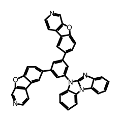 c1ccc2c(c1)nc1n(-c3cc(-c4ccc5oc6cnccc6c5c4)cc(-c4ccc5oc6cnccc6c5c4)c3)c3ccccc3n21